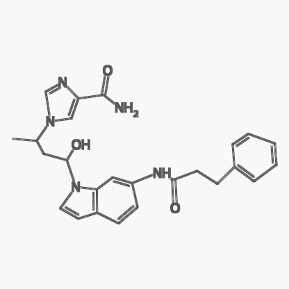 CC(CC(O)n1ccc2ccc(NC(=O)CCc3ccccc3)cc21)n1cnc(C(N)=O)c1